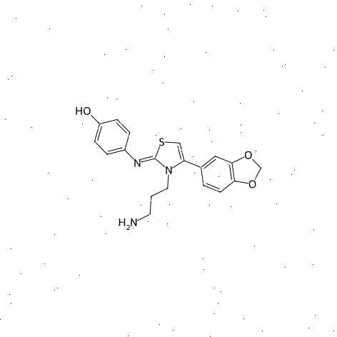 NCCCn1c(-c2ccc3c(c2)OCO3)cs/c1=N\c1ccc(O)cc1